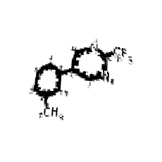 Cc1cccc(-c2cnc(C(F)(F)F)nc2)c1